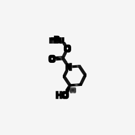 CCCCOC(=O)N1CCC[C@@H](O)C1